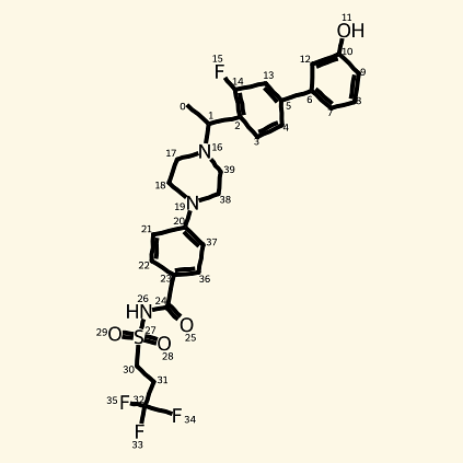 CC(c1ccc(-c2cccc(O)c2)cc1F)N1CCN(c2ccc(C(=O)NS(=O)(=O)CCC(F)(F)F)cc2)CC1